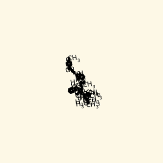 C=C([C@H](C)C[C@H]1CC[C@@H]2O[C@@H](CCCOC(=O)c3ccc(OC)cc3)CC2(CI)O1)[C@H](O)CC1OC(C[C@@H](CO[Si](C)(C)C(C)(C)C)O[Si](C)(C)C(C)(C)C)[C@H](OC)C1CS(=O)(=O)c1ccccc1